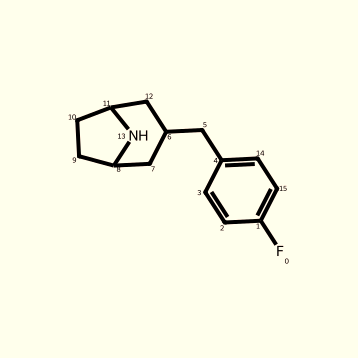 Fc1ccc(CC2CC3CCC(C2)N3)cc1